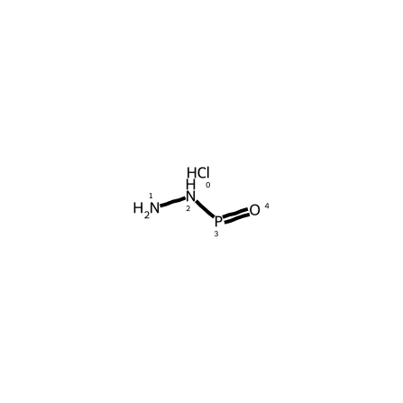 Cl.NNP=O